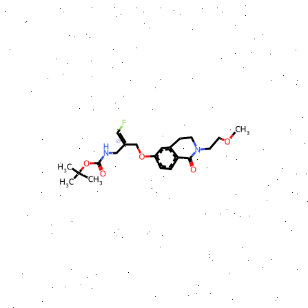 COCCN1CCc2cc(OC/C(=C\F)CNC(=O)OC(C)(C)C)ccc2C1=O